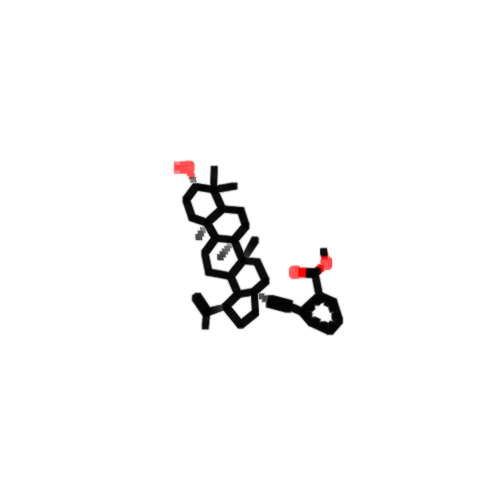 C=C(C)[C@@H]1CC[C@]2(C#Cc3ccccc3C(=O)OC)CC[C@]3(C)C(CCC4[C@@]5(C)CC[C@H](O)C(C)(C)C5CC[C@]43C)C12